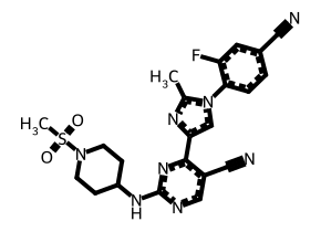 Cc1nc(-c2nc(NC3CCN(S(C)(=O)=O)CC3)ncc2C#N)cn1-c1ccc(C#N)cc1F